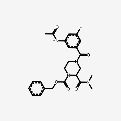 CC(=O)Nc1cc(F)cc(C(=O)N2CCN(C(=O)OCc3ccccc3)C(C(=O)N(C)C)C2)c1